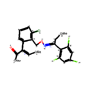 CO/C=C(/C(=O)OC)c1cccc(Cl)c1CO/N=C(\COC)c1c(F)cc(F)cc1F